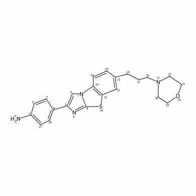 Nc1ccc(-c2cn3c(n2)sc2cc(CCCN4CCOCC4)ccc23)cc1